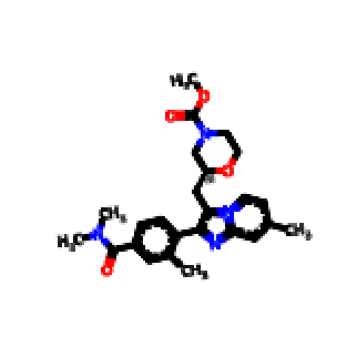 COC(=O)N1CCO[C@@H](Cc2c(-c3ccc(C(=O)N(C)C)cc3C)nc3cc(C)ccn23)C1